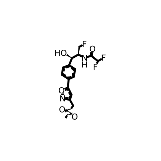 CS(=O)(=O)Cc1cc(-c2ccc([C@@H](O)[C@@H](CF)NC(=O)C(F)F)cc2)on1